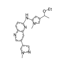 CCOC(C)c1cc(Nc2ccc3ncc(-c4cnn(C)c4)cc3n2)n(C)c1